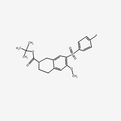 COc1cc2c(cc1S(=O)(=O)c1ccc(F)cc1)CN(C(=O)OC(C)(C)C)CC2